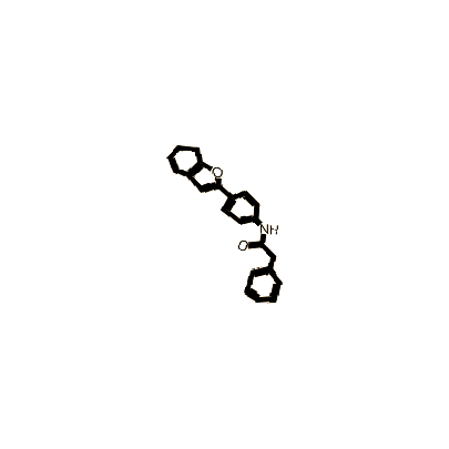 O=C(Cc1ccccc1)Nc1ccc(-c2cc3c(o2)CCC=C3)cc1